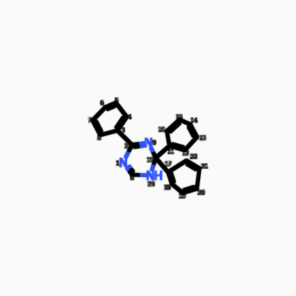 C1=NC(c2ccccc2)=NC(c2ccccc2)(c2ccccc2)N1